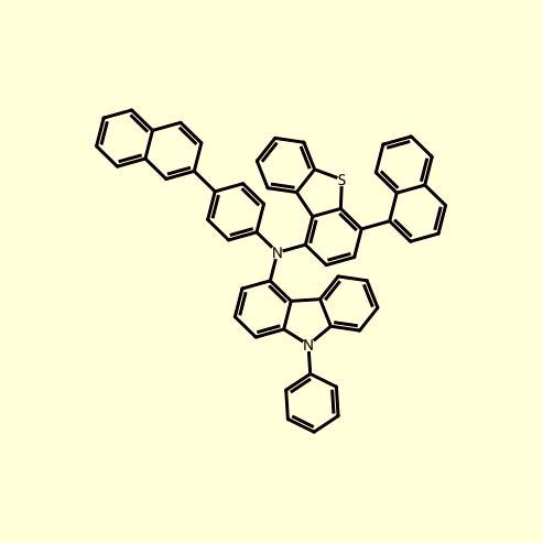 c1ccc(-n2c3ccccc3c3c(N(c4ccc(-c5ccc6ccccc6c5)cc4)c4ccc(-c5cccc6ccccc56)c5sc6ccccc6c45)cccc32)cc1